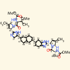 CC[C@H](C)[C@H](NC(=O)OC)C(=O)N1CC(C)=C[C@H]1c1nc2ccc(-c3ccc4cc(-c5cnc([C@@H]6C=C(C)CN6C(=O)[C@@H](NC(=O)OC)[C@@H](C)OC)[nH]5)ccc4c3)cc2[nH]1